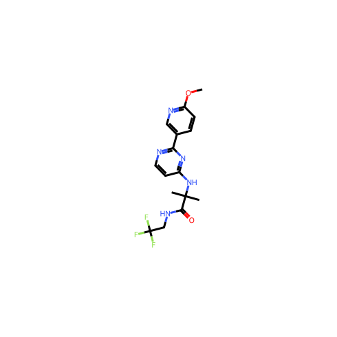 COc1ccc(-c2nccc(NC(C)(C)C(=O)NCC(F)(F)F)n2)cn1